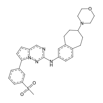 CS(=O)(=O)c1cccc(-c2ccc3cnc(Nc4ccc5c(c4)CCC(N4CCOCC4)CC5)nn23)c1